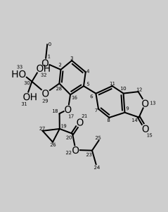 COc1ccc(-c2ccc3c(c2)COC3=O)c(OCC2(C(=O)OC(C)C)CC2)c1OC(O)(O)O